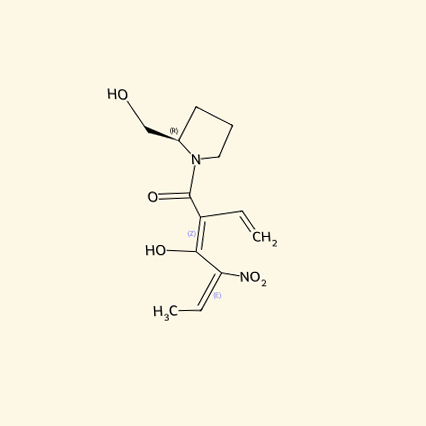 C=C/C(C(=O)N1CCC[C@@H]1CO)=C(O)\C(=C/C)[N+](=O)[O-]